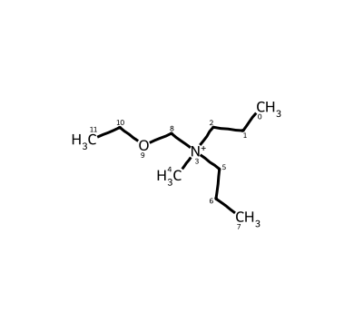 CCC[N+](C)(CCC)COCC